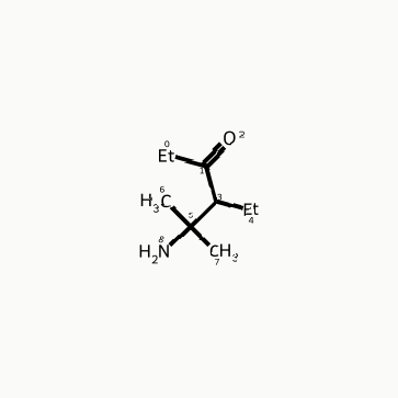 CCC(=O)C(CC)C(C)(C)N